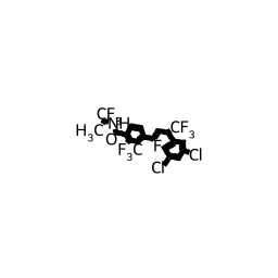 C[C@@H](NC(=O)c1ccc(/C(F)=C/C(c2cc(Cl)cc(Cl)c2)C(F)(F)F)cc1C(F)(F)F)C(F)(F)F